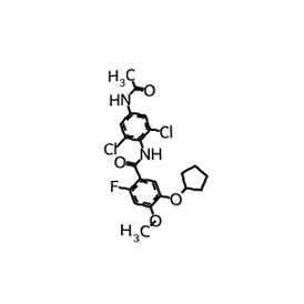 COc1cc(F)c(C(=O)Nc2c(Cl)cc(NC(C)=O)cc2Cl)cc1OC1CCCC1